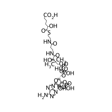 CC(C)(COP(=O)(O)OP(=O)(O)OC[C@H]1O[C@@H](n2cnc3c(N)ncnc32)[C@H](O)[C@@H]1OP(=O)(O)O)[C@@H](O)C(=O)NCCC(=O)NCCSC(=O)C(O)CCCC(=O)O